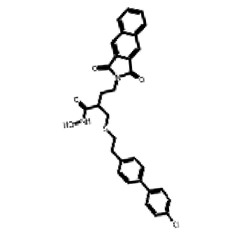 O=C(NO)C(CCN1C(=O)c2cc3ccccc3cc2C1=O)CSCCc1ccc(-c2ccc(Cl)cc2)cc1